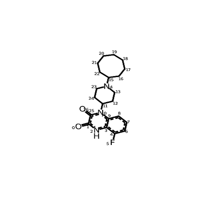 O=c1[nH]c2c(F)cccc2n(C2CCN(C3CCCCCCC3)CC2)c1=O